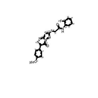 COc1ccc(-c2nnc3sc(SCC(=O)Nc4ccccc4F)nn3c2=O)cc1